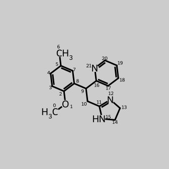 COc1ccc(C)cc1C(CC1=NCCN1)c1ccccn1